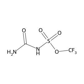 NC(=O)NS(=O)(=O)OC(F)(F)F